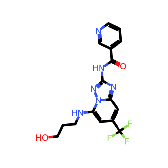 O=C(Nc1nc2cc(C(F)(F)F)cc(NCCCO)n2n1)c1cccnc1